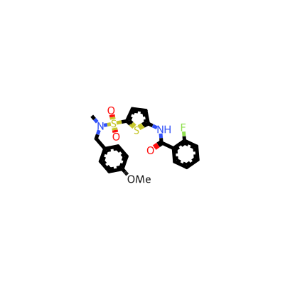 COc1ccc(CN(C)S(=O)(=O)c2ccc(NC(=O)c3ccccc3F)s2)cc1